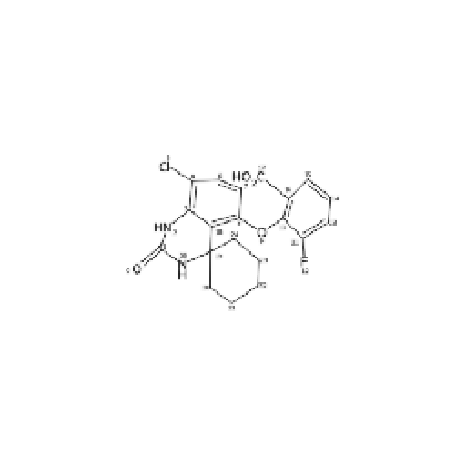 O=C1Nc2c(Cl)ccc(Oc3c(F)cccc3C(=O)O)c2C2(CCCCC2)N1